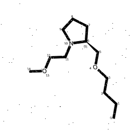 CCCCOC[C@@H]1CCCN1CCOC